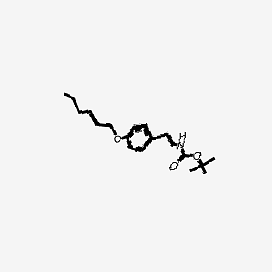 CCC/C=C/COc1ccc(CCNC(=O)OC(C)(C)C)cc1